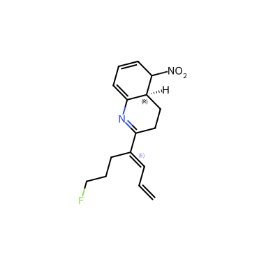 C=C/C=C(\CCCF)C1=NC2=CC=CC([N+](=O)[O-])[C@H]2CC1